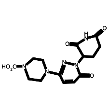 O=C1CCC(n2nc(N3CCN(C(=O)O)CC3)ccc2=O)C(=O)N1